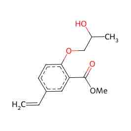 C=Cc1ccc(OCC(C)O)c(C(=O)OC)c1